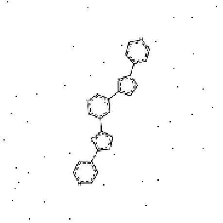 c1cc(-c2ccc(-c3cncc(-c4ccc(-c5ccncc5)s4)c3)s2)ccn1